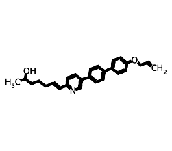 C=CCOc1ccc(-c2ccc(-c3ccc(C=CCCCC(C)O)nc3)cc2)cc1